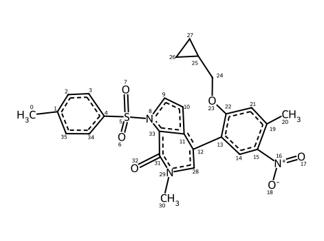 Cc1ccc(S(=O)(=O)n2ccc3c(-c4cc([N+](=O)[O-])c(C)cc4OCC4CC4)cn(C)c(=O)c32)cc1